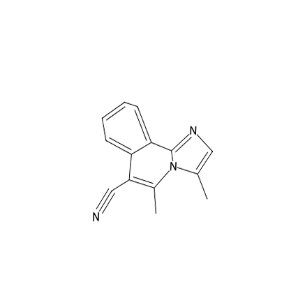 Cc1cnc2c3ccccc3c(C#N)c(C)n12